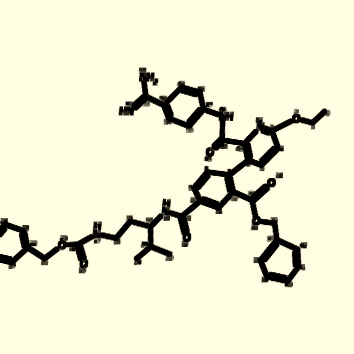 CCOc1ccc(-c2ccc(C(=O)NC(CCNC(=O)OCc3ccccc3)C(C)C)cc2C(=O)OCc2ccccc2)c(C(=O)Nc2ccc(C(=N)N)cc2)n1